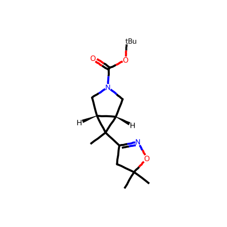 CC(C)(C)OC(=O)N1C[C@@H]2[C@H](C1)C2(C)C1=NOC(C)(C)C1